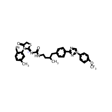 Cc1ccc(C(C)C)c(N2C(=O)CS/C2=N\C(=O)NCCC(C)Cc2ccc(-c3ncn(-c4ccc(OC(F)(F)F)cc4)n3)cc2)c1